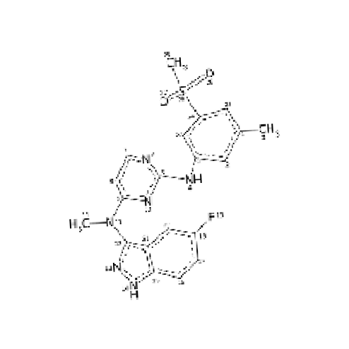 Cc1cc(Nc2nccc(N(C)c3n[nH]c4ccc(F)cc34)n2)cc(S(C)(=O)=O)c1